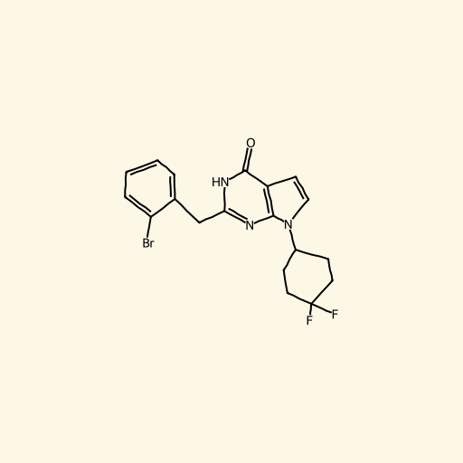 O=c1[nH]c(Cc2ccccc2Br)nc2c1ccn2C1CCC(F)(F)CC1